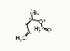 C=CCC(CCCC)O[PH2]=O